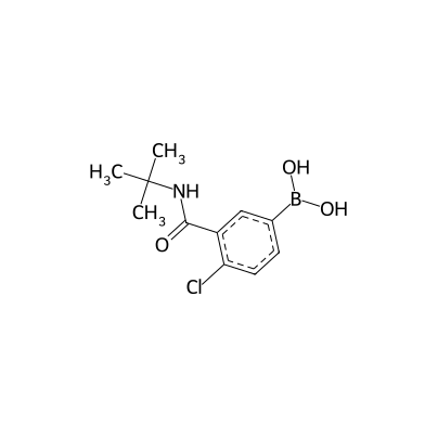 CC(C)(C)NC(=O)c1cc(B(O)O)ccc1Cl